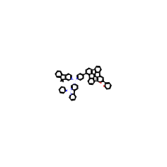 CC1(C)c2ccccc2-c2ccc(N(c3ccc(-c4cccc5c4-c4ccccc4C54c5ccccc5-c5cc6c(cc54)oc4ccccc46)cc3)c3ccc4c5ccccc5n(-c5ccccc5)c4c3)cc21